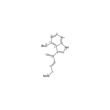 CNCC=CC(=O)c1c[nH]c2ncnc(OCC(C)C)c12